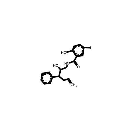 C=CCC(c1ccccc1)C(O)CNC(=O)c1cc(I)ccc1O